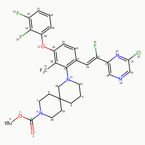 CC(C)(C)OC(=O)N1CCC2(CCCN(c3c(/C=C(\F)c4cncc(Cl)n4)ccc(Oc4cccc(F)c4F)c3C(F)(F)F)C2)CC1